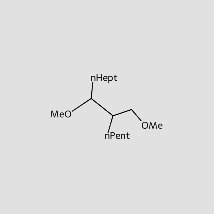 CCCCCCCC(OC)C(CCCCC)COC